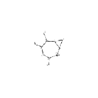 CC1CC(C)C(C)C2CC2N1